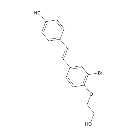 N#Cc1ccc(N=Nc2ccc(OCCO)c(Br)c2)cc1